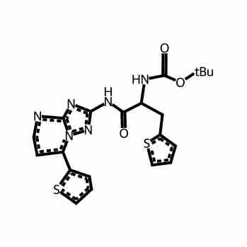 CC(C)(C)OC(=O)NC(Cc1cccs1)C(=O)Nc1nc2nccc(-c3cccs3)n2n1